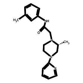 Cc1cccc(NC(=O)CN2CCN(c3ccccn3)C[C@H]2C)c1